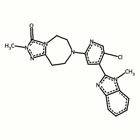 Cn1nc2n(c1=O)CCN(c1cc(-c3nc4ccccc4n3C)c(Cl)cn1)CC2